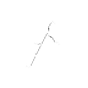 CCCCCC#CCOC(CCCCCCCCN(CCO)CCCCCCCC(=O)OCCCCCCCCC)OCC#CCCCCC